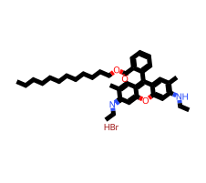 Br.CCCCCCCCCCCCOC(=O)c1ccccc1-c1c2cc(C)/c(=N/CC)cc-2oc2cc(NCC)c(C)cc12